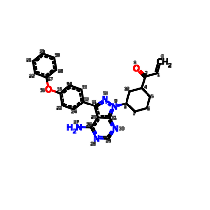 C=CC(=O)C1CCC[C@@H](n2nc(-c3ccc(Oc4ccccc4)cc3)c3c(N)ncnc32)C1